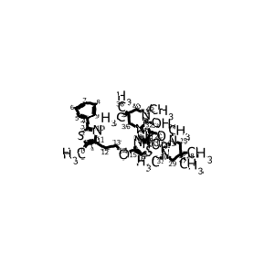 Cc1sc(-c2ccccc2)nc1CCOc1csc(C(O[P]2(O)N(C)CC(C)(C)CN2C)[P]2(O)N(C)CC(C)(C)CN2C)n1